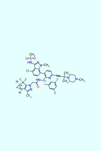 CN1CCN(C(C)(C)C#Cc2ccc(-c3ccc(Cl)c4c(NS(C)(=O)=O)nn(C)c34)c([C@H](Cc3cc(F)cc(F)c3)NC(=O)Cn3nc(C(F)(F)F)c4c3C(F)(F)[C@@H]3C[C@H]43)n2)CC1